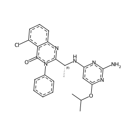 CC(C)Oc1cc(N[C@H](C)c2nc3cccc(Cl)c3c(=O)n2-c2ccccc2)nc(N)n1